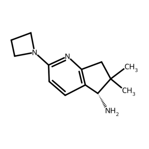 CC1(C)Cc2nc(N3CCC3)ccc2[C@H]1N